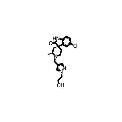 C[C@H]1C[C@@]2(CCN1Cc1cnn(CCO)c1)C(=O)Nc1ccc(Cl)cc12